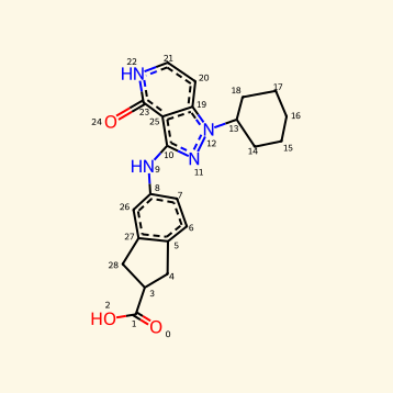 O=C(O)C1Cc2ccc(Nc3nn(C4CCCCC4)c4cc[nH]c(=O)c34)cc2C1